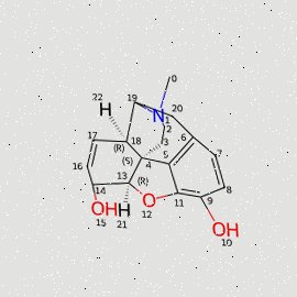 CN1CC[C@]23c4c5ccc(O)c4O[C@H]2C(O)C=C[C@H]3C1C5